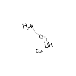 [CH3][AlH2].[Cu].[LiH]